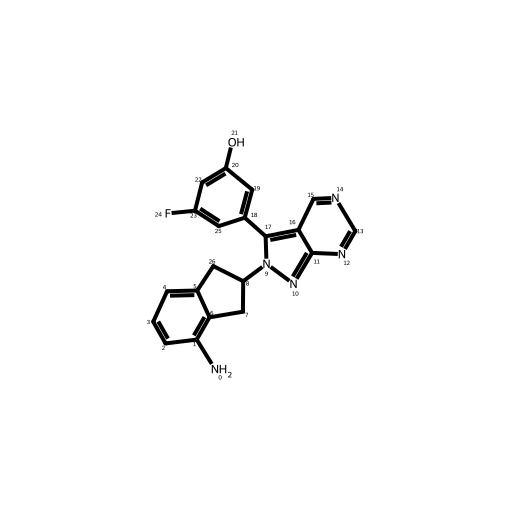 Nc1cccc2c1CC(n1nc3ncncc3c1-c1cc(O)cc(F)c1)C2